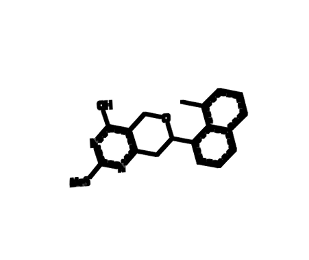 CSc1nc(O)c2c(n1)CC(c1cccc3cccc(C)c13)OC2